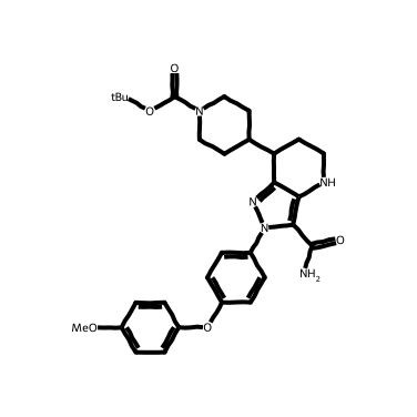 COc1ccc(Oc2ccc(-n3nc4c(c3C(N)=O)NCCC4C3CCN(C(=O)OC(C)(C)C)CC3)cc2)cc1